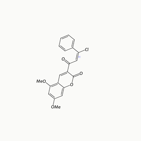 COc1cc(OC)c2cc(C(=O)/C=C(/Cl)c3ccccc3)c(=O)oc2c1